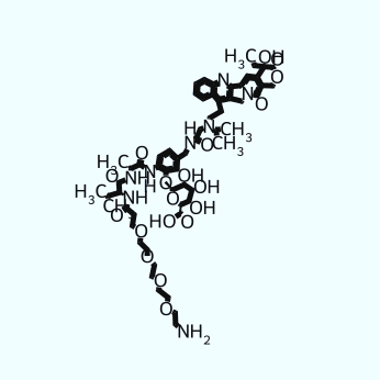 CC[C@@]1(O)C(=O)OCc2c1cc1n(c2=O)Cc2c-1nc1ccccc1c2CCN(CC(=O)NCc1ccc(NC(=O)[C@H](C)NC(=O)[C@@H](NC(=O)CCOCCOCCOCCOCCN)C(C)C)c(O[C@@H]2O[C@H](C(=O)O)[C@@H](O)[C@H](O)[C@H]2O)c1)C(C)C